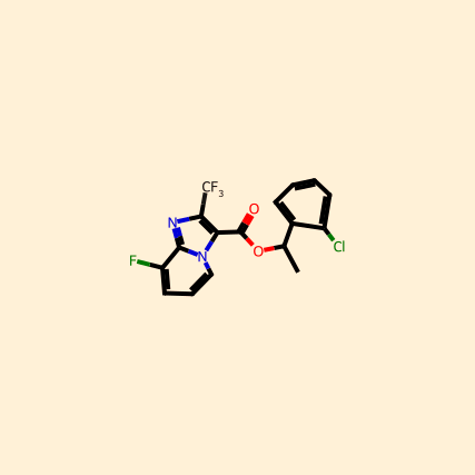 CC(OC(=O)c1c(C(F)(F)F)nc2c(F)cccn12)c1ccccc1Cl